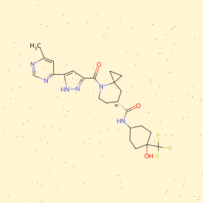 Cc1cc(-c2cc(C(=O)N3CC[C@@H](C(=O)NC4CCC(O)(C(F)(F)F)CC4)CC34CC4)n[nH]2)ncn1